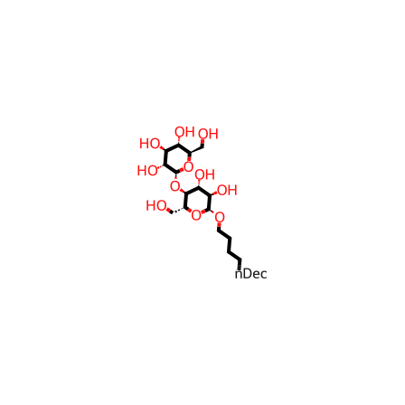 CCCCCCCCCCCCCCO[C@@H]1O[C@H](CO)[C@@H](O[C@H]2O[C@H](CO)[C@@H](O)[C@H](O)[C@H]2O)[C@H](O)[C@H]1O